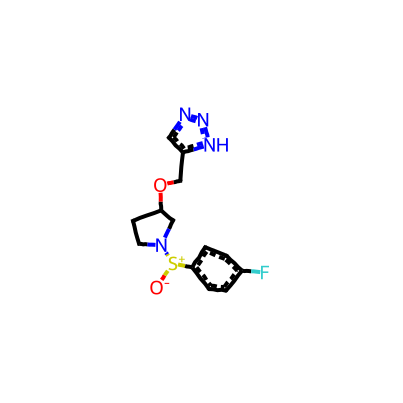 [O-][S+](c1ccc(F)cc1)N1CCC(OCc2cnn[nH]2)C1